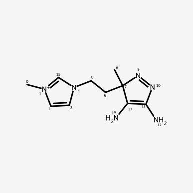 C[n+]1ccn(CCC2(C)N=NC(N)=C2N)c1